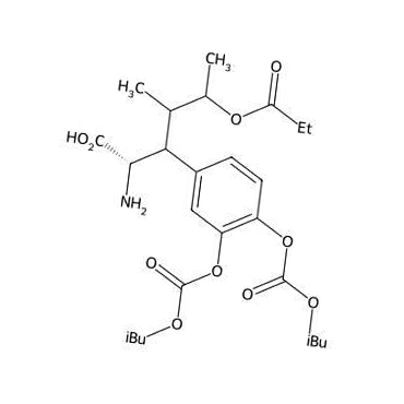 CCC(=O)OC(C)C(C)C(c1ccc(OC(=O)OC(C)CC)c(OC(=O)OC(C)CC)c1)[C@H](N)C(=O)O